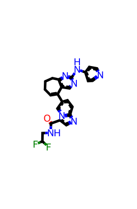 O=C(NCC(F)F)c1cnc2ccc(C3=CCCCc4nc(Nc5ccncc5)ncc43)cn12